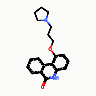 O=c1[nH]c2cccc(OCCCN3CCCC3)c2c2ccccc12